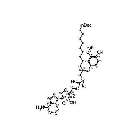 CCCCCCCCCCCCCCCCCCC[C@H](COP(=O)(O)OC[C@@]1(C)OC[C@](O)(c2ccc3c(N)ncnn23)[C@@H]1O)Oc1ccc(C#N)c(OC(C)C)c1